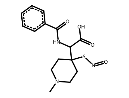 CN1CCC(SN=O)(C(NC(=O)c2ccccc2)C(=O)O)CC1